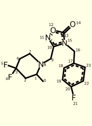 CC1CC(F)(F)CCN1Cc1noc(=O)n1Cc1ccc(F)cc1